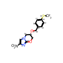 O=[N+]([O-])c1cn2c(n1)OC[C@@H](OCc1ccc(SC(F)(F)F)cc1)C2